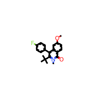 COc1ccc2c(=O)n(C)c(C(C)(C)C)c(-c3ccc(F)cc3)c2c1